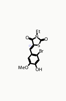 CCN1C(=O)S/C(=C\c2cc(OC)c(O)cc2Br)C1=O